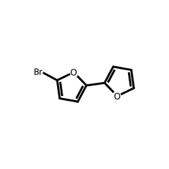 Brc1ccc(-c2ccco2)o1